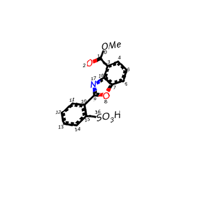 COC(=O)c1cccc2oc(-c3ccccc3S(=O)(=O)O)nc12